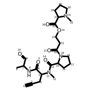 C#CCC(C(=O)NC(C)C=O)N(C)C(=O)C1CCCN1C(=O)CCOC(=O)C1CCCN1C